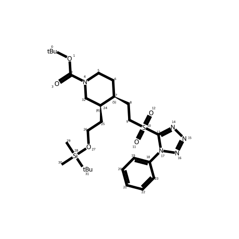 CC(C)(C)OC(=O)N1CC[C@@H](CCS(=O)(=O)c2nnnn2-c2ccccc2)[C@@H](CCO[Si](C)(C)C(C)(C)C)C1